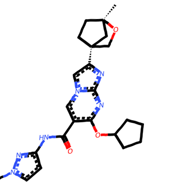 Cn1ccc(NC(=O)c2cn3cc([C@]45CC[C@](C)(C4)OC5)nc3nc2OC2CCCC2)n1